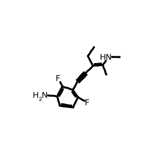 CC/C(C#Cc1c(F)ccc(N)c1F)=C(/C)NC